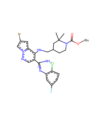 CC(C)(C)OC(=O)N1CCC(CNc2c(/C(N)=N/c3cc(F)ccc3Cl)cnn3cc(Br)cc23)CC1(C)C